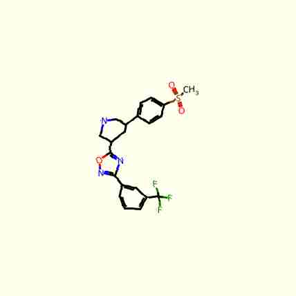 CS(=O)(=O)c1ccc(C2C[N]CC(c3nc(-c4cccc(C(F)(F)F)c4)no3)C2)cc1